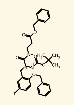 CC(C)(C)OC(=O)N[C@@H](Cc1cc(I)ccc1OCc1ccccc1)C(=O)NCCC(=O)OCc1ccccc1